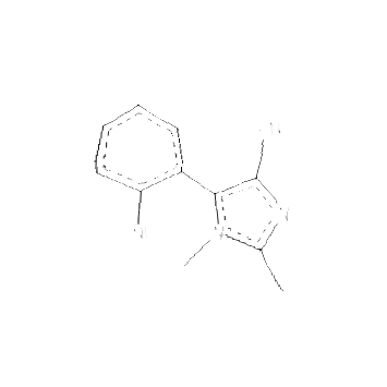 Cc1nc(C#N)c(-c2ccccc2N)n1C